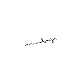 CCCCCCCCCC(=O)OCCOC(=O)CC